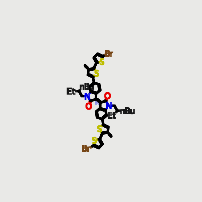 CCCCC(CC)CN1C(=O)/C(=C2/C(=O)N(CC(CC)CCCC)c3cc(-c4cc(C)c(-c5ccc(Br)s5)s4)ccc32)c2ccc(-c3cc(C)c(-c4ccc(Br)s4)s3)cc21